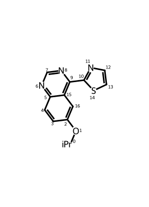 CC(C)Oc1ccc2ncnc(-c3nccs3)c2c1